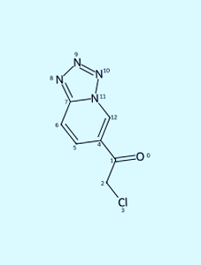 O=C(CCl)c1ccc2nnnn2c1